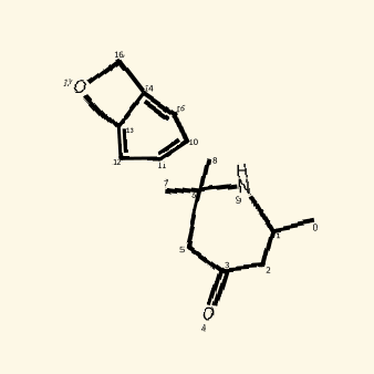 CC1CC(=O)CC(C)(C)N1.c1ccc2c(c1)CO2